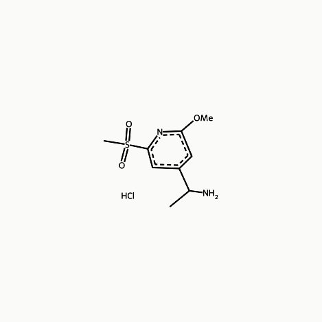 COc1cc(C(C)N)cc(S(C)(=O)=O)n1.Cl